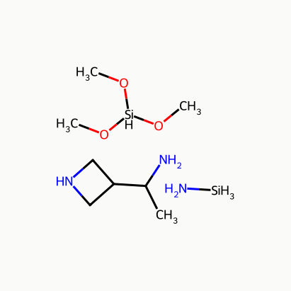 CC(N)C1CNC1.CO[SiH](OC)OC.N[SiH3]